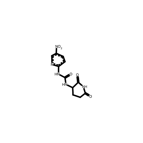 O=C1CCC(NC(=O)Nc2ccc([N+](=O)[O-])cn2)C(=O)N1